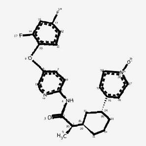 C[C@@H](C(=O)Nc1ccc(Oc2ccc(F)cc2F)cn1)[C@@H]1CCC[C@@H](c2cc[n+]([O-])cc2)C1